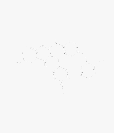 CC(Cn1c(=O)cc(Nc2ccc(Oc3ncccc3F)cc2)n(Cc2ccc(Cl)cc2)c1=O)C(=O)O